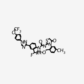 CCOCc1ccc(C)cc1N1C(=O)CS/C1=N\C(=O)Nc1ccc(-c2ncn(-c3ccc(OC(F)(F)F)cc3)n2)cc1C(F)F